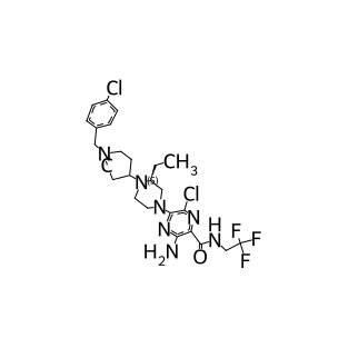 CC[C@H]1CN(c2nc(N)c(C(=O)NCC(F)(F)F)nc2Cl)CCN1C1CCN(Cc2ccc(Cl)cc2)CC1